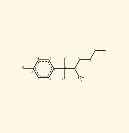 CCCCC(O)C(C)(C)c1ccc(C)cc1